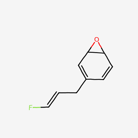 FC=CCC1=CC2OC2C=C1